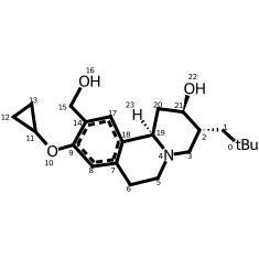 CC(C)(C)C[C@@H]1CN2CCc3cc(OC4CC4)c(CO)cc3[C@H]2C[C@H]1O